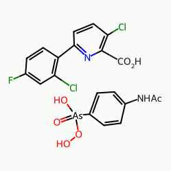 CC(=O)Nc1ccc([As](=O)(O)OO)cc1.O=C(O)c1nc(-c2ccc(F)cc2Cl)ccc1Cl